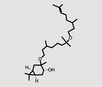 CC(C)=CCCC(C)CCOC(C)(C)CCCC(C)CCOC1(C)C[C@H]2[C@@H](C[C@H]1O)C2(C)C